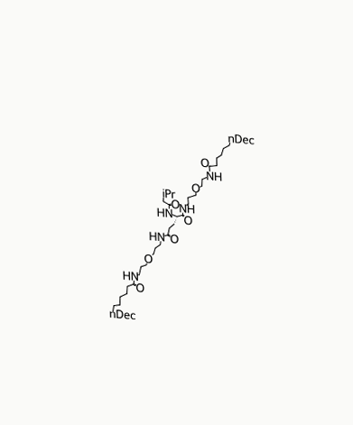 CCCCCCCCCCCCCCCC(=O)NCCCOCCCNC(=O)CC[C@H](NC(=O)CC(C)C)C(=O)NCCCOCCNC(=O)CCCCCCCCCCCCCCC